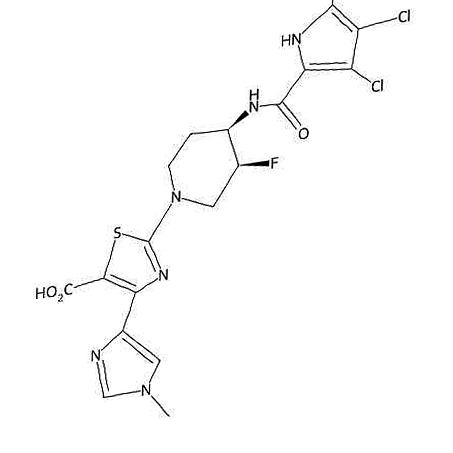 Cc1[nH]c(C(=O)N[C@@H]2CCN(c3nc(-c4cn(C)cn4)c(C(=O)O)s3)C[C@@H]2F)c(Cl)c1Cl